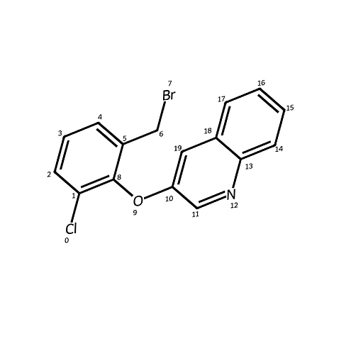 Clc1cccc(CBr)c1Oc1cnc2ccccc2c1